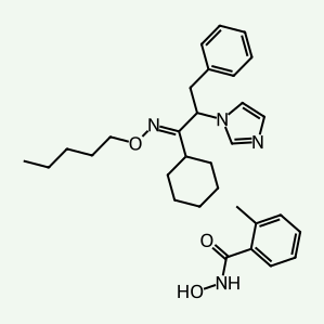 CCCCCO/N=C(\C1CCCCC1)C(Cc1ccccc1)n1ccnc1.Cc1ccccc1C(=O)NO